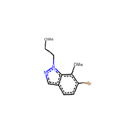 COCCn1ncc2ccc(Br)c(OC)c21